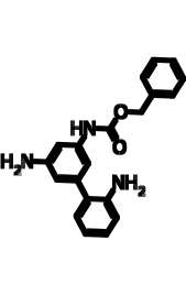 Nc1cc(NC(=O)OCc2ccccc2)cc(-c2ccccc2N)c1